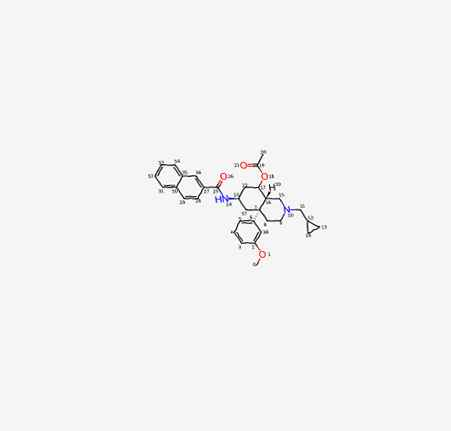 COc1cccc([C@@]23CCN(CC4CC4)C[C@H]2C(OC(C)=O)C[C@H](NC(=O)c2ccc4ccccc4c2)C3)c1